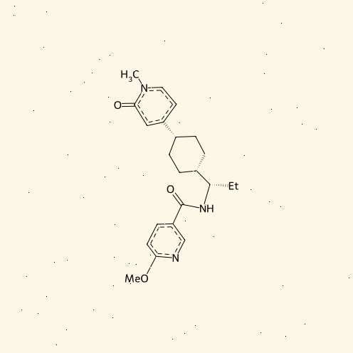 CC[C@H](NC(=O)c1ccc(OC)nc1)[C@H]1CC[C@@H](c2ccn(C)c(=O)c2)CC1